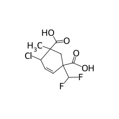 CC1(C(=O)O)CC(C(=O)O)(C(F)F)C=CC1Cl